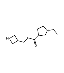 CCN1CCC(C(=O)OCC2CNC2)C1